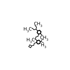 CCCC(CCC)c1ccc(CC)c(CCC(C)c2cc(C)ccc2CCC2CCC2)c1